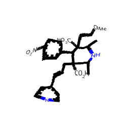 COCCC1(C(=O)O)C(C)NC(C)C(C/C=C/c2ccncc2)(C(=O)O)C1c1ccc([N+](=O)[O-])cc1